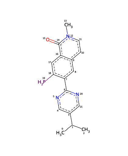 CC(C)c1cnc(-c2cc3ccn(C)c(=O)c3cc2P)nc1